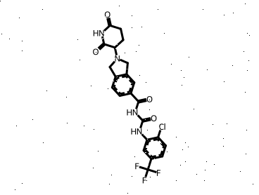 O=C1CCC(N2Cc3ccc(C(=O)NC(=O)Nc4cc(C(F)(F)F)ccc4Cl)cc3C2)C(=O)N1